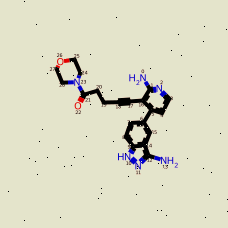 Nc1nccc(-c2ccc3[nH]nc(N)c3c2)c1C#CCCC(=O)N1CCOCC1